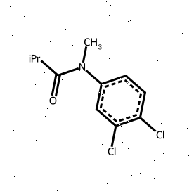 CC(C)C(=O)N(C)c1ccc(Cl)c(Cl)c1